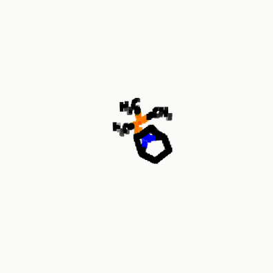 C[PH](C)(C)N1C2CCC1CC2